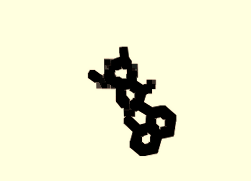 CNc1nc(C)nc2c(F)c(-c3cccc4cccc(C)c34)ncc12